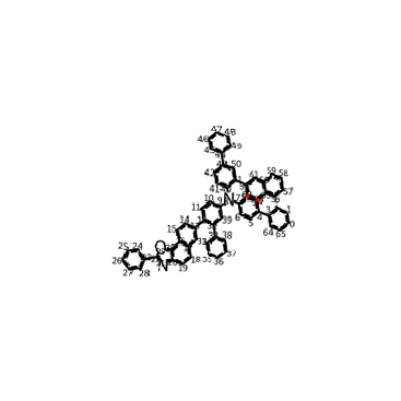 c1ccc(-c2ccc(N(c3ccc(-c4ccc5c(ccc6nc(-c7ccccc7)oc65)c4)c(-c4ccccc4)c3)c3ccc(-c4ccccc4)cc3-c3ccc4ccccc4c3)cc2)cc1